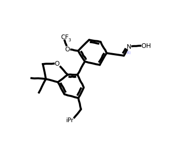 CC(C)Cc1cc(-c2cc(/C=N/O)ccc2OC(F)(F)F)c2c(c1)C(C)(C)CO2